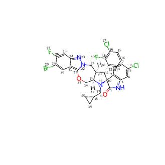 O=C1Nc2cc(Cl)ccc2[C@@]12[C@@H](c1cccc(Cl)c1F)[C@@H]1Cn3nc4cc(F)c(Br)cc4c3OC[C@@H]1N2CC1CC1